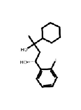 CC(O)(C[C@@H](O)c1ccccc1I)C1CCCCC1